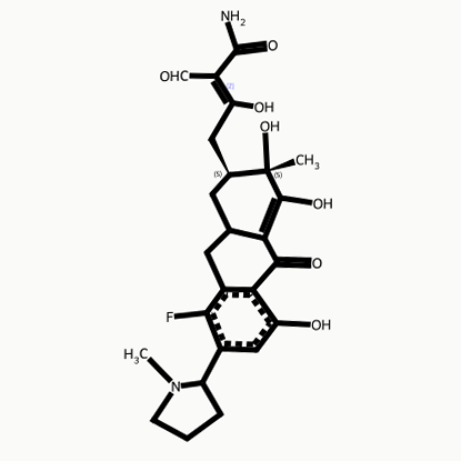 CN1CCCC1c1cc(O)c2c(c1F)CC1C[C@@H](C/C(O)=C(\C=O)C(N)=O)[C@](C)(O)C(O)=C1C2=O